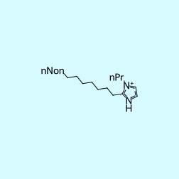 CCCCCCCCCCCCCCCCc1[nH]cc[n+]1CCC